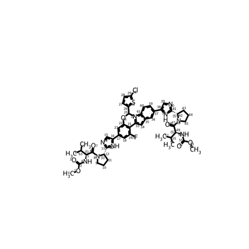 COC(=O)N[C@H](C(=O)N1CCC[C@H]1c1ncc(-c2cc(F)c3c(c2)OC(c2ccc(Cl)s2)n2c-3cc3cc(-c4cnc([C@@H]5CCCN5C(=O)[C@@H](NC(=O)OC)C(C)C)[nH]4)ccc32)[nH]1)C(C)C